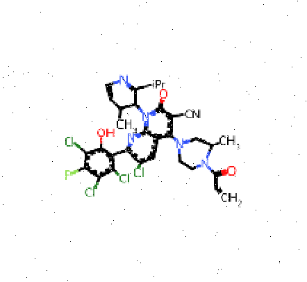 C=CC(=O)N1CCN(c2c(C#N)c(=O)n(C3C(C(C)C)=NC=CC3C)c3nc(-c4c(O)c(Cl)c(F)c(Cl)c4Cl)c(Cl)cc23)C[C@H]1C